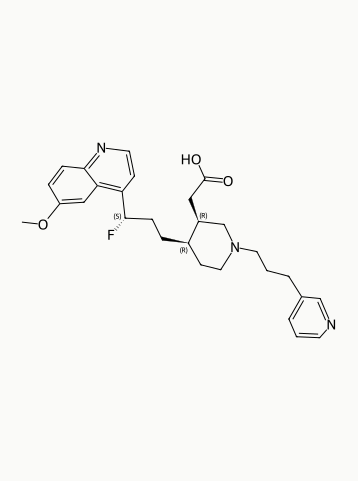 COc1ccc2nccc([C@@H](F)CC[C@@H]3CCN(CCCc4cccnc4)C[C@@H]3CC(=O)O)c2c1